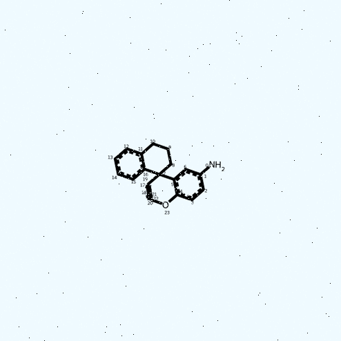 Nc1ccc2c(c1)C1(CCCc3ccccc31)c1ccccc1O2